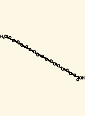 CCCOCCOCCOCCOCCOCCOCCOCCOCCOCCOCCOCCOCCOCCOCCOCCOCCOCCC(=O)O